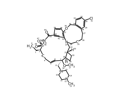 CC[C@@H]1CC/C=C/[C@](CN2CCN(C)CC2)(OC)[C@@H]2CC[C@H]2CN2CCCCc3cc(Cl)ccc3COc3ccc(cc32)C(=O)NS1(=O)=O